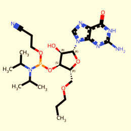 CCCOC[C@H]1O[C@@H](n2cnc3c(=O)[nH]c(N)nc32)[C@H](O)[C@@H]1OP(OCCC#N)N(C(C)C)C(C)C